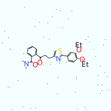 CCOc1ccc(-c2nc(CCC(=O)c3ccccc3C(=O)N(C)C)cs2)cc1OCC